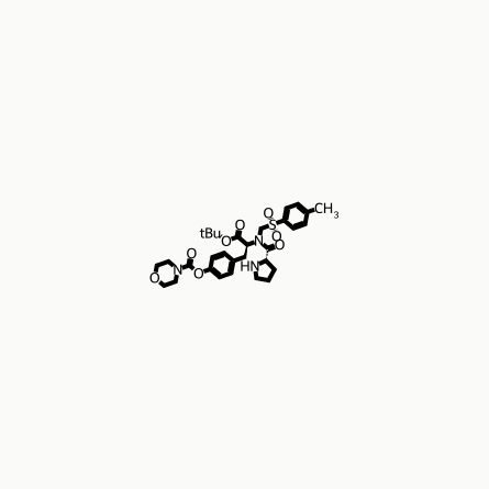 Cc1ccc(S(=O)(=O)CN(C(=O)[C@@H]2CCCN2)[C@@H](Cc2ccc(OC(=O)N3CCOCC3)cc2)C(=O)OC(C)(C)C)cc1